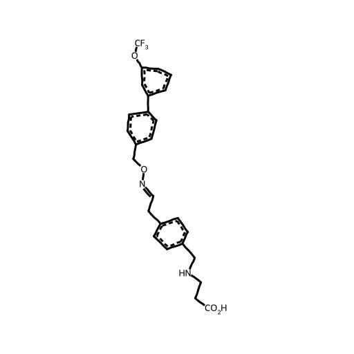 O=C(O)CCNCc1ccc(CC=NOCc2ccc(-c3cccc(OC(F)(F)F)c3)cc2)cc1